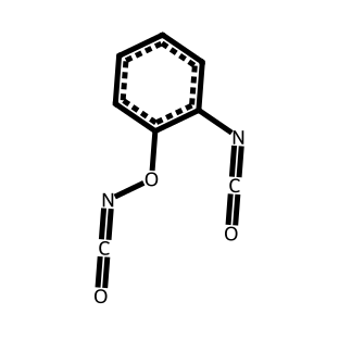 O=C=NOc1ccccc1N=C=O